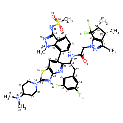 C[C@@H]1c2c(C(F)(F)F)nn(CC(=O)N[C@@H](Cc3cc(F)cc(F)c3)c3nc4nc(N5CCC(N(C)C)CC5)sc4cc3-c3cccc4c(NS(C)(=O)=O)nn(C)c34)c2C(F)(F)[C@@H]1C